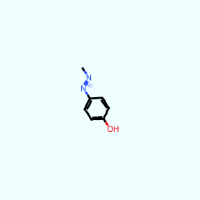 C/N=N/c1ccc(O)cc1